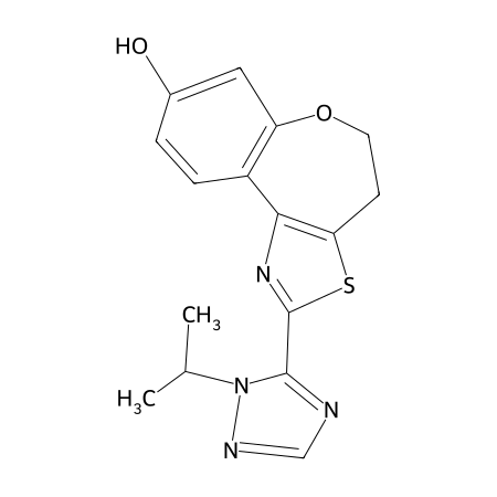 CC(C)n1ncnc1-c1nc2c(s1)CCOc1cc(O)ccc1-2